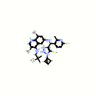 Cc1nc(F)ccc1[C@H](Nc1cc(C#N)c2ncc(C#N)c(NCC(C)(C)C(F)(F)F)c2c1)C1=C(F)N(C23CC(C2)C3)NN1